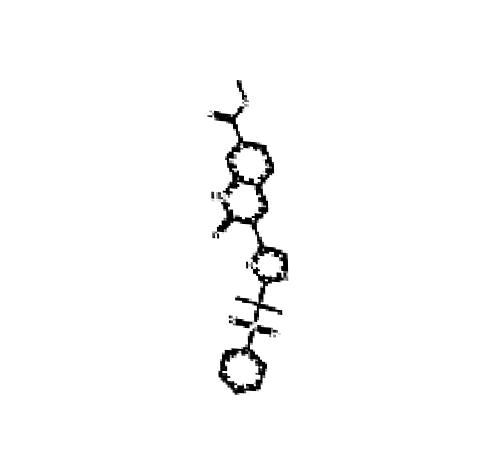 COC(=O)c1ccc2cc(-c3csc(C(C)(C)S(=O)(=O)c4ccccc4)n3)c(=O)[nH]c2c1